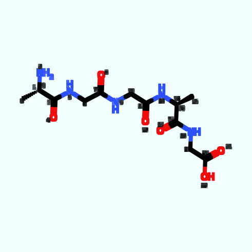 C[C@H](N)C(=O)NCC(=O)NCC(=O)N[C@@H](C)C(=O)NCC(=O)O